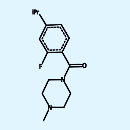 CC(C)c1ccc(C(=O)N2CCN(C)CC2)c(F)c1